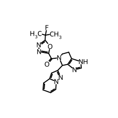 CC(C)(F)c1nnc(C(=O)N2CCc3[nH]cnc3C2c2cc3ccccn3n2)o1